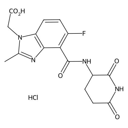 Cc1nc2c(C(=O)NC3CCC(=O)NC3=O)c(F)ccc2n1CC(=O)O.Cl